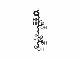 O=C(O)CCC(NC(=O)NCCCCC(NC(=O)NCc1cccc(I)c1)C(=O)O)C(=O)O